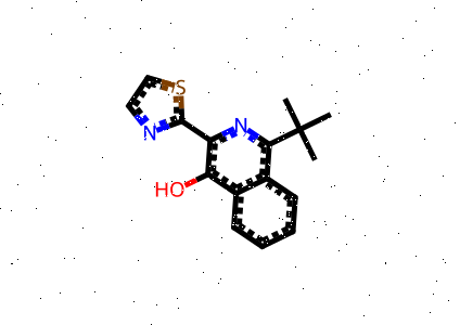 CC(C)(C)c1nc(-c2nccs2)c(O)c2ccccc12